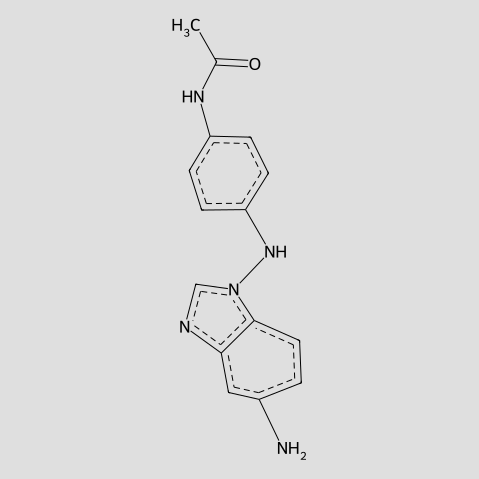 CC(=O)Nc1ccc(Nn2cnc3cc(N)ccc32)cc1